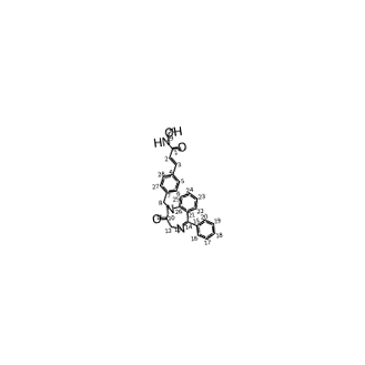 O=C(/C=C/c1ccc(CN2C(=O)CN=C(c3ccccc3)c3ccccc32)cc1)NO